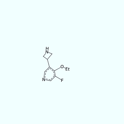 CCOc1c(F)cncc1C1CNC1